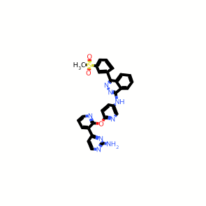 CS(=O)(=O)c1cccc(-c2nnc(Nc3ccc(Oc4ncccc4-c4ccnc(N)n4)nc3)c3ccccc23)c1